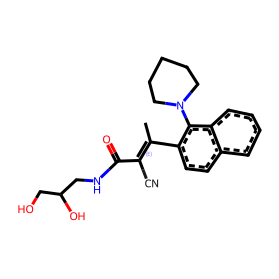 C/C(=C(/C#N)C(=O)NCC(O)CO)c1ccc2ccccc2c1N1CCCCC1